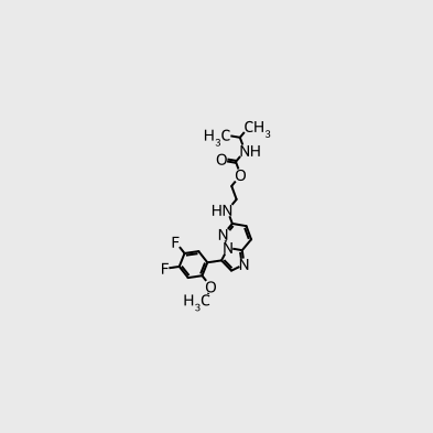 COc1cc(F)c(F)cc1-c1cnc2ccc(NCCOC(=O)NC(C)C)nn12